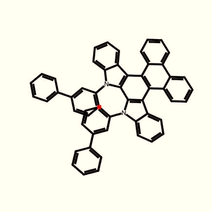 c1ccc(-c2cccc(-n3c4ccccc4c4c5c6ccccc6c6ccccc6c5c5c6ccccc6n(-c6cccc(-c7ccccc7)c6)c5c43)c2)cc1